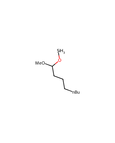 CCCCCCCC(OC)O[SiH3]